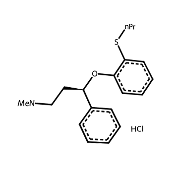 CCCSc1ccccc1O[C@H](CCNC)c1ccccc1.Cl